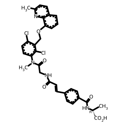 Cc1ccc2cccc(OCc3c(Cl)ccc(N(C)C(=O)CNC(=O)C=Cc4ccc(C(=O)N[C@H](C)C(=O)O)cc4)c3Cl)c2n1